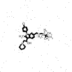 Cc1c(C(O)CN2CCCCC2)c2ccc(COCS(C)(C)C(C)(C)C)cc2n1-c1ccc(Cl)cc1